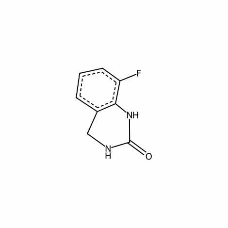 O=C1NCc2cccc(F)c2N1